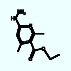 CCOC(=O)c1c(C)cc(NN)nc1C